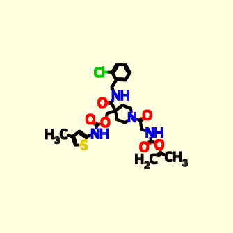 C=C(C)OC(=O)NCC(=O)N1CCC(COC(=O)Nc2cc(C)cs2)(C(=O)NCc2ccccc2Cl)CC1